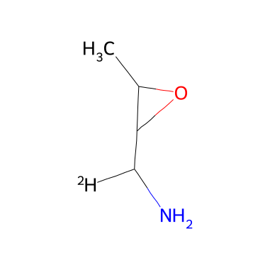 [2H]C(N)C1OC1C